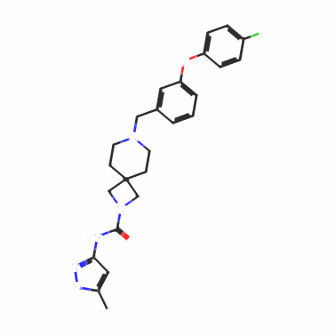 Cc1cc(NC(=O)N2CC3(CCN(Cc4cccc(Oc5ccc(Cl)cc5)c4)CC3)C2)n[nH]1